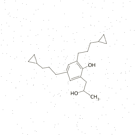 CC(O)Cc1cc(CCCC2CC2)cc(CCCC2CC2)c1O